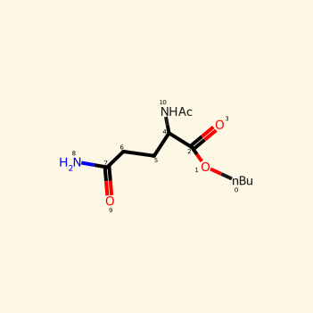 CCCCOC(=O)C(CCC(N)=O)NC(C)=O